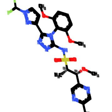 COc1cccc(OC)c1-n1c(NS(=O)(=O)[C@@H](C)[C@H](OC)c2cnc(C)cn2)nnc1-c1ccn(C(F)F)n1